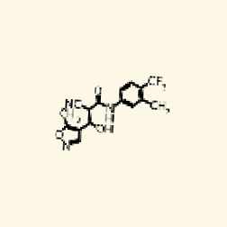 Cc1cc(NC(=O)C(C#N)C(O)c2cnoc2C)ccc1C(F)(F)F